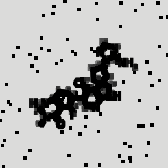 CN(C)C(=O)c1c(N)ccc(-c2cnc3c(c2Cl)[C@@]2(CC[C@@H](n4ncnc4N)C2)CN3)c1F